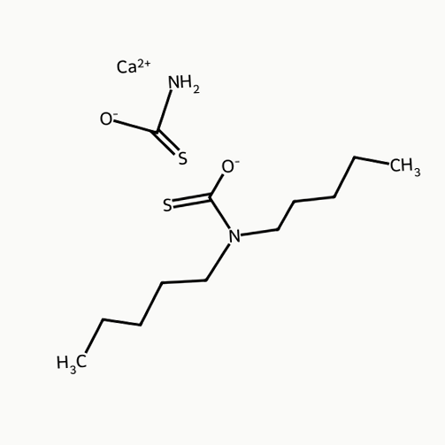 CCCCCN(CCCCC)C([O-])=S.NC([O-])=S.[Ca+2]